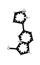 Clc1cnc2ccc(-c3cc[nH]n3)cn12